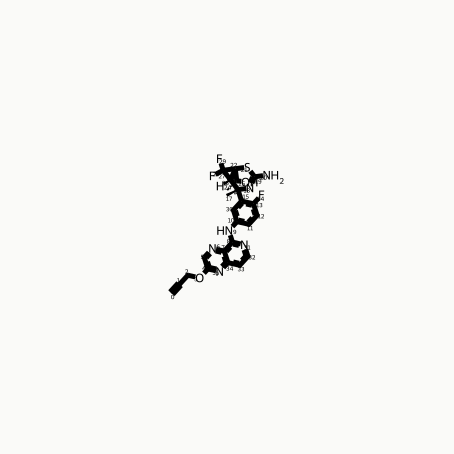 C#CCOc1cnc2c(Nc3ccc(F)c([C@@]4(C)N=C(N)SC5([C@@H](C)O)[C@H]4C5(F)F)c3)nccc2n1